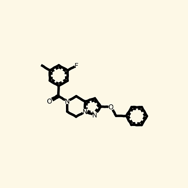 Cc1cc(F)cc(C(=O)N2CCn3nc(OCc4ccccc4)cc3C2)c1